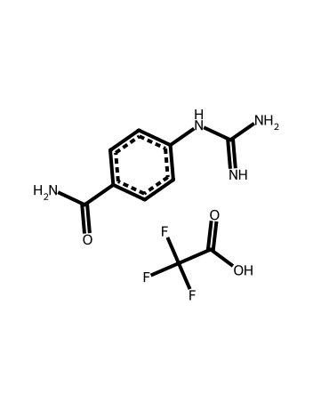 N=C(N)Nc1ccc(C(N)=O)cc1.O=C(O)C(F)(F)F